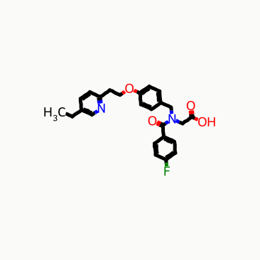 CCc1ccc(CCOc2ccc(CN(CC(=O)O)C(=O)c3ccc(F)cc3)cc2)nc1